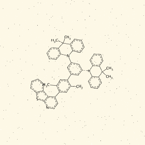 Cc1cc(-c2ccnc3sc4ccccc4c23)c(C)cc1-c1cc(N2c3ccccc3C(C)(C)c3ccccc32)cc(N2c3ccccc3C(C)(C)c3ccccc32)c1